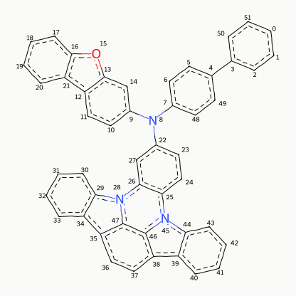 c1ccc(-c2ccc(N(c3ccc4c(c3)oc3ccccc34)c3ccc4c(c3)n3c5ccccc5c5ccc6c7ccccc7n4c6c53)cc2)cc1